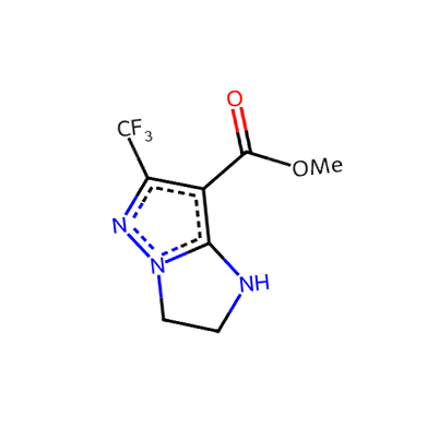 COC(=O)c1c(C(F)(F)F)nn2c1NCC2